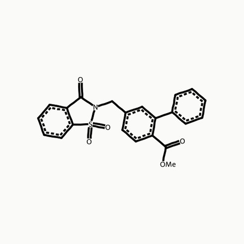 COC(=O)c1ccc(CN2C(=O)c3ccccc3S2(=O)=O)cc1-c1ccccc1